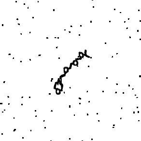 CC(C)OCCOCCOCCN1CCOCC1